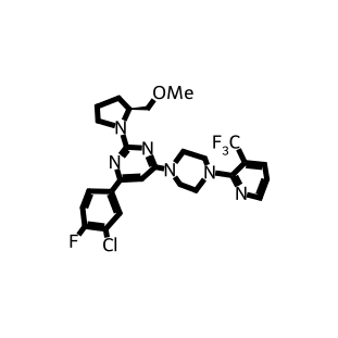 COC[C@@H]1CCCN1c1nc(-c2ccc(F)c(Cl)c2)cc(N2CCN(c3ncccc3C(F)(F)F)CC2)n1